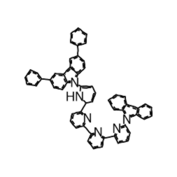 C1=CC(c2cccc(-c3cccc(-c4cccc(-n5c6ccccc6c6ccccc65)n4)n3)n2)NC(n2c3ccc(-c4ccccc4)cc3c3cc(-c4ccccc4)ccc32)=C1